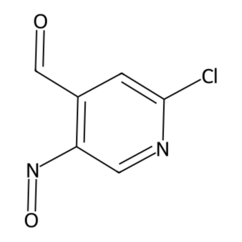 O=Cc1cc(Cl)ncc1N=O